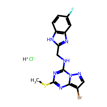 CSc1nc(NCc2nc3cc(F)ccc3[nH]2)n2ncc(Br)c2n1.[Cl-].[H+]